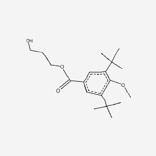 COc1c(C(C)(C)C)cc(C(=O)OCCCO)cc1C(C)(C)C